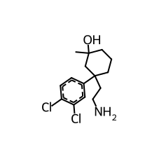 CC1(O)CCCC(CCN)(c2ccc(Cl)c(Cl)c2)C1